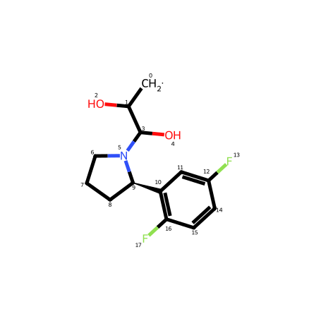 [CH2]C(O)C(O)N1CCC[C@@H]1c1cc(F)ccc1F